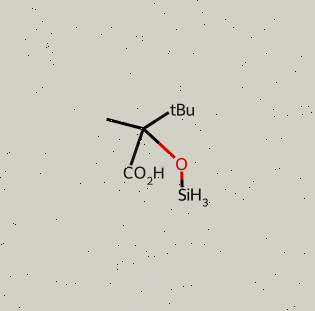 CC(C)(C)C(C)(O[SiH3])C(=O)O